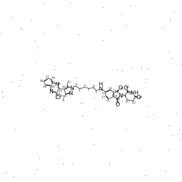 Cc1nn(CCCCCCNc2ccc3c(c2)C(=O)N(C2CCC(=O)NC2=O)C3=O)c(C)c1-c1nc2ccccc2nc1C(F)(F)F